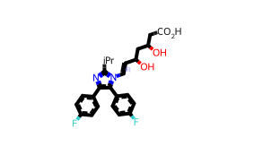 CC(C)c1nc(-c2ccc(F)cc2)c(-c2ccc(F)cc2)n1/C=C/C(O)CC(O)CC(=O)O